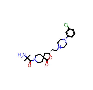 CC(C)(N)C(=O)N1CCC2(CC1)C[C@H](CCN1CCN(c3cccc(Cl)c3)CC1)OC2=O